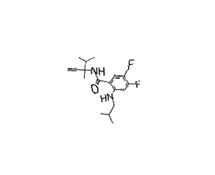 C#CC(C)(NC(=O)c1cc(F)c(F)cc1NCC(C)C)C(C)C